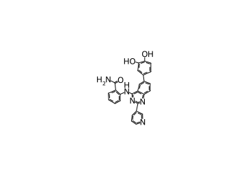 NC(=O)c1ccccc1Nc1nc(-c2cccnc2)nc2ccc(-c3ccc(O)c(O)c3)cc12